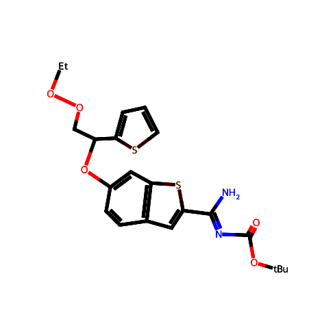 CCOOCC(Oc1ccc2cc(/C(N)=N/C(=O)OC(C)(C)C)sc2c1)c1cccs1